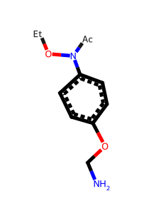 CCON(C(C)=O)c1ccc(OCN)cc1